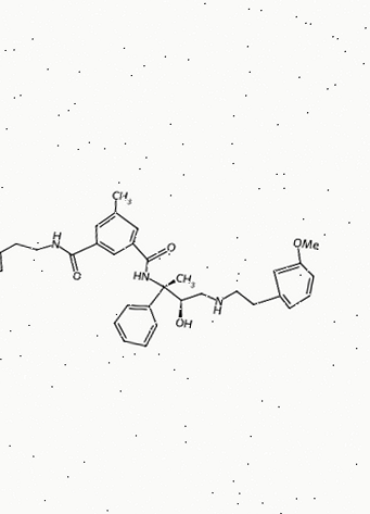 COc1cccc(CCNC[C@@H](O)[C@@](C)(NC(=O)c2cc(C)cc(C(=O)NCCc3cccc(OC)c3)c2)c2ccccc2)c1